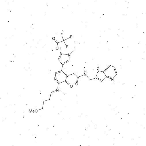 COCCCCNc1ncc(-c2cnn(C)c2)n(CC(=O)NCc2cc3ncccc3[nH]2)c1=O.O=C(O)C(F)(F)F